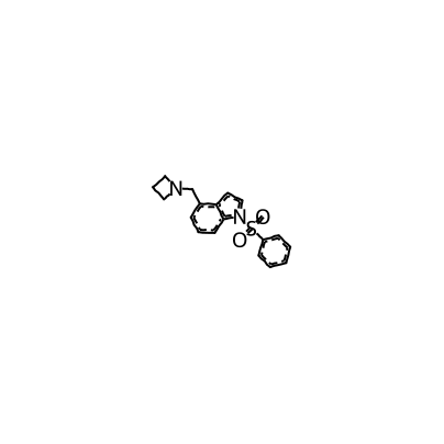 O=S(=O)(c1ccccc1)n1ccc2c(CN3CCC3)cccc21